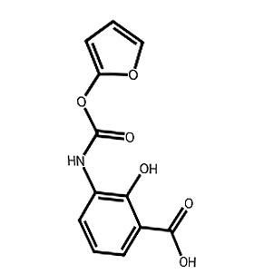 O=C(Nc1cccc(C(=O)O)c1O)Oc1ccco1